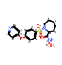 O=C(NO)C1CCCCCN1S(=O)(=O)c1ccc(Oc2ccncc2)cc1